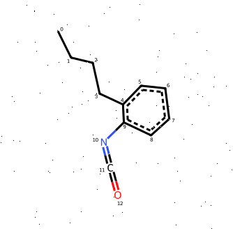 CCC[CH]c1ccccc1N=C=O